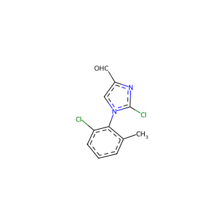 Cc1cccc(Cl)c1-n1cc(C=O)nc1Cl